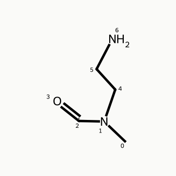 CN([C]=O)CCN